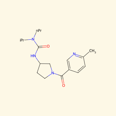 CCCN(C(=O)NC1CCN(C(=O)c2ccc(C)nc2)C1)C(C)C